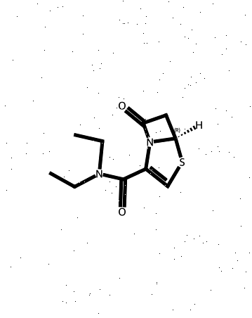 CCN(CC)C(=O)C1=CS[C@@H]2CC(=O)N12